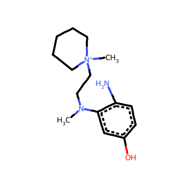 CN(CC[N+]1(C)CCCCC1)c1cc(O)ccc1N